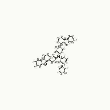 c1ccc(-c2cccc(N(c3ccc(-c4cccc5c4sc4ccccc45)cc3)c3ccc4c(ccc5c6ccccc6oc45)c3)c2)cc1